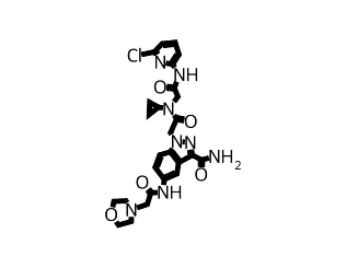 NC(=O)c1nn(CC(=O)N(CC(=O)Nc2cccc(Cl)n2)C2CC2)c2ccc(NC(=O)CN3CCOCC3)cc12